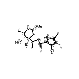 CO[C@@H]1C[C@@](O)(C(C)NC(=O)c2[nH]c(C)c(Cl)c2Cl)[C@H](O)[C@@H](C)O1